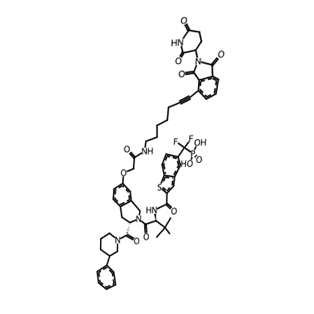 CC(C)(C)[C@H](NC(=O)c1cc2cc(C(F)(F)P(=O)(O)O)ccc2s1)C(=O)N1Cc2cc(OCC(=O)NCCCCCC#Cc3cccc4c3C(=O)N(C3CCC(=O)NC3=O)C4=O)ccc2C[C@H]1C(=O)N1CCCC(c2ccccc2)C1